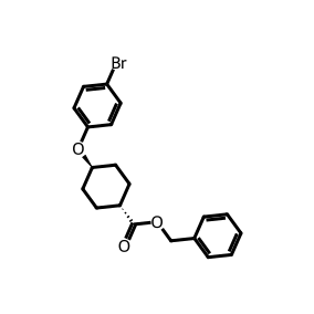 O=C(OCc1ccccc1)[C@H]1CC[C@H](Oc2ccc(Br)cc2)CC1